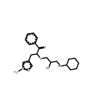 Cn1cc(CC(OCC(O)CNC2CCCCC2)C(=O)c2ccccc2)cn1